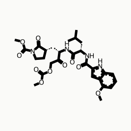 COC(=O)OCC(=O)[C@H](C[C@@H]1CCN(C(=O)OC)C1=O)NC(=O)[C@H](CC(C)C)NC(=O)c1cc2c(OC)cccc2[nH]1